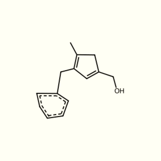 CC1=C(Cc2ccccc2)C=C(CO)C1